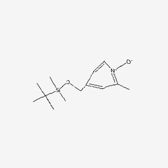 Cc1cc(CO[Si](C)(C)C(C)(C)C)cc[n+]1[O-]